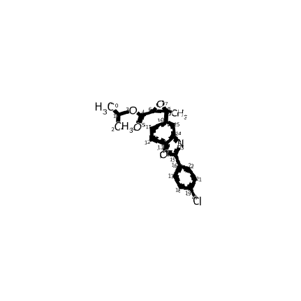 CC(C)OC(=O)C1OC1(C)c1ccc2oc(-c3ccc(Cl)cc3)nc2c1